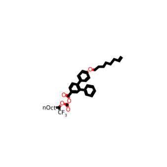 C=CCCCCCCOc1ccc(-c2ccc(C(=O)OC(=O)OC(CCCCCCCC)C(F)(F)F)cc2-c2ccccc2)cc1